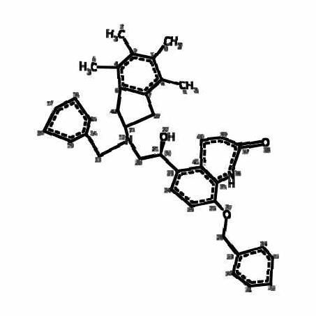 Cc1c(C)c(C)c2c(c1C)CC(N(Cc1ccccc1)C[C@@H](O)c1ccc(OCc3ccccc3)c3[nH]c(=O)ccc13)C2